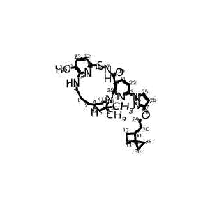 CC1(C)C[C@@H]2CCCNc3nc(ccc3O)SNC(=O)c3ccc(-n4ccc(OCCC5CCC56CC6)n4)nc3N1C2